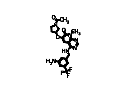 CC(=O)N1CCC(Oc2cc3c(NCc4cc(N)cc(C(F)(F)F)c4)ncnc3n(C)c2=O)C1